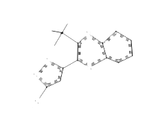 Nc1cc(-c2nc3ccccc3nc2C(F)(F)F)n[nH]1